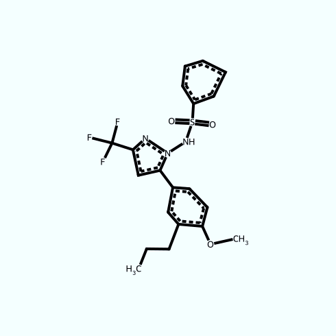 CCCc1cc(-c2cc(C(F)(F)F)nn2NS(=O)(=O)c2ccccc2)ccc1OC